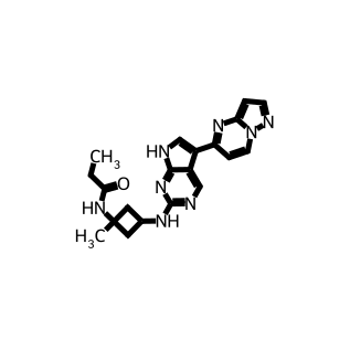 CCC(=O)NC1(C)CC(Nc2ncc3c(-c4ccn5nccc5n4)c[nH]c3n2)C1